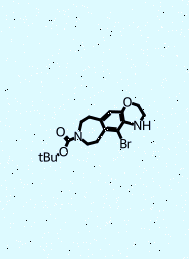 CC(C)(C)OC(=O)N1CCc2cc3c(c(Br)c2CC1)NCCO3